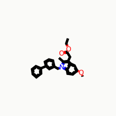 CCOC(=O)Cc1c(C)n(Cc2cccc(-c3ccccc3)c2)c2ccc(OC)cc12